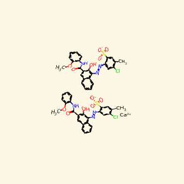 COc1ccccc1NC(=O)c1cc2ccccc2c(N=Nc2cc(Cl)c(C)cc2S(=O)(=O)[O-])c1O.COc1ccccc1NC(=O)c1cc2ccccc2c(N=Nc2cc(Cl)c(C)cc2S(=O)(=O)[O-])c1O.[Ca+2]